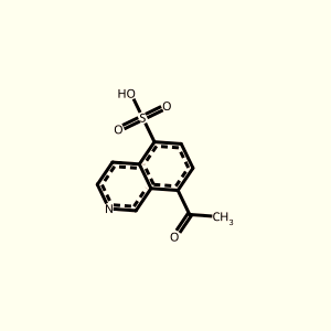 CC(=O)c1ccc(S(=O)(=O)O)c2ccncc12